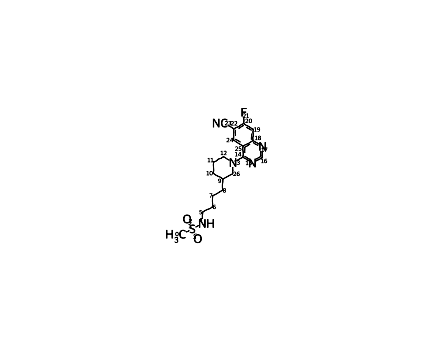 CS(=O)(=O)NCCCCC1CCCN(c2ncnc3cc(F)c(C#N)cc23)C1